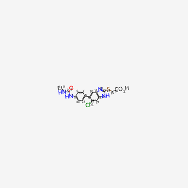 CCNC(=O)Nc1ccc(-c2cc3nc(SCC(=O)O)[nH]c3cc2Cl)cc1